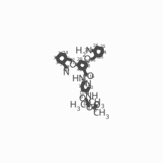 CC(=O)OC(C)(C)C(=O)Nc1ccc(NC(=O)c2cc(OCc3ccccc3N)cc(OCc3ccccc3C#N)c2)nc1